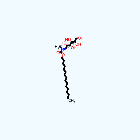 CCCCCCCCCCCCCCCCOC(=O)N(C)C[C@H](O)[C@@H](O)[C@H](O)[C@H](O)CO